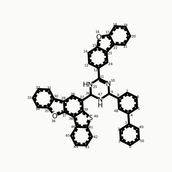 c1ccc(-c2cccc(C3N=C(c4ccc5oc6ccccc6c5c4)NC(c4cc5c6ccccc6oc5c5c4sc4ccccc45)N3)c2)cc1